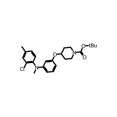 Cc1ccc(N(C)c2cccc(OC3CCN(C(=O)OC(C)(C)C)CC3)c2)c(Cl)c1